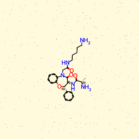 C[C@H](N)C(=O)N[C@H]1C(=O)N(CC(=O)NCCCCCN)c2ccccc2O[C@H]1c1ccccc1